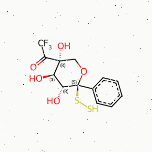 O=C(C(F)(F)F)[C@@]1(O)CO[C@](SS)(c2ccccc2)[C@H](O)[C@H]1O